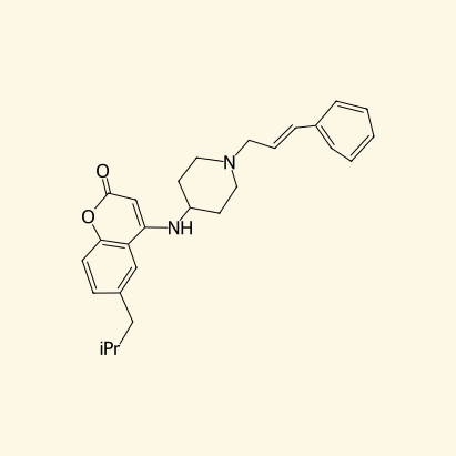 CC(C)Cc1ccc2oc(=O)cc(NC3CCN(CC=Cc4ccccc4)CC3)c2c1